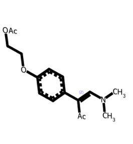 CC(=O)OCCOc1ccc(/C(=C/N(C)C)C(C)=O)cc1